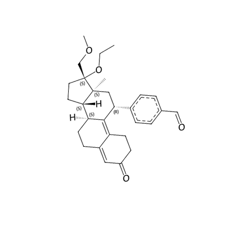 CCO[C@@]1(COC)CC[C@H]2[C@@H]3CCC4=CC(=O)CCC4=C3[C@@H](c3ccc(C=O)cc3)C[C@@]21C